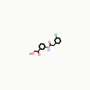 O=C(Cc1cccc(Cl)c1)Nc1cccc(C(=O)CO)c1